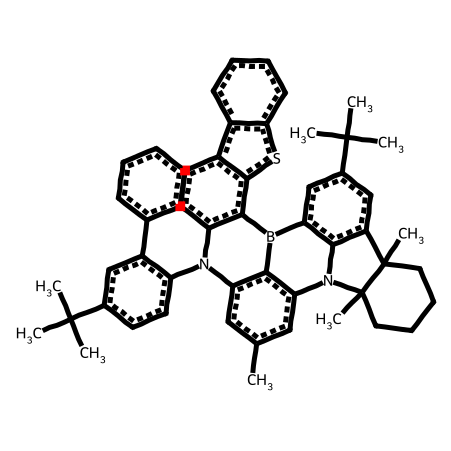 Cc1cc2c3c(c1)N1c4c(cc(C(C)(C)C)cc4C4(C)CCCCC14C)B3c1c(ccc3c1sc1ccccc13)N2c1ccc(C(C)(C)C)cc1-c1ccccc1